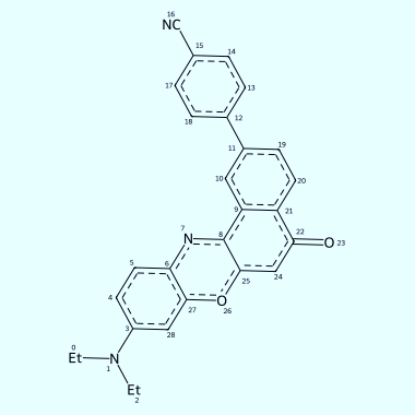 CCN(CC)c1ccc2nc3c4cc(-c5ccc(C#N)cc5)ccc4c(=O)cc-3oc2c1